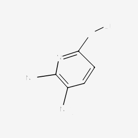 CCOc1ccc([N+](=O)[O-])c(C#N)n1